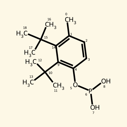 Cc1ccc(OP(O)O)c(C(C)(C)C)c1C(C)(C)C